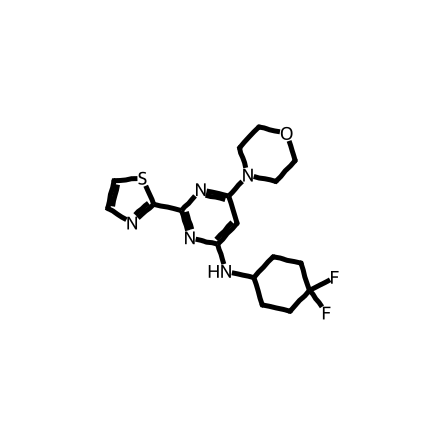 FC1(F)CCC(Nc2cc(N3CCOCC3)nc(-c3nccs3)n2)CC1